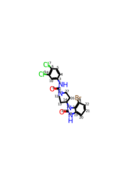 O=C(Nc1ccc(Cl)c(Cl)c1)N1CCC(n2c(=O)[nH]c3cccc(Br)c32)CC1